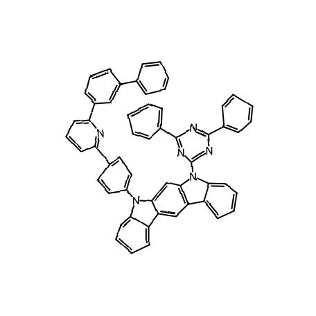 c1ccc(-c2cccc(-c3cccc(-c4ccc(-n5c6ccccc6c6cc7c8ccccc8n(-c8nc(-c9ccccc9)nc(-c9ccccc9)n8)c7cc65)cc4)n3)c2)cc1